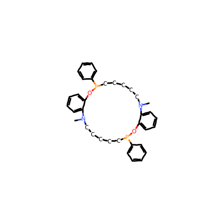 CN1CCCCCP(c2ccccc2)Oc2ccccc2N(C)CCCCCP(c2ccccc2)Oc2ccccc21